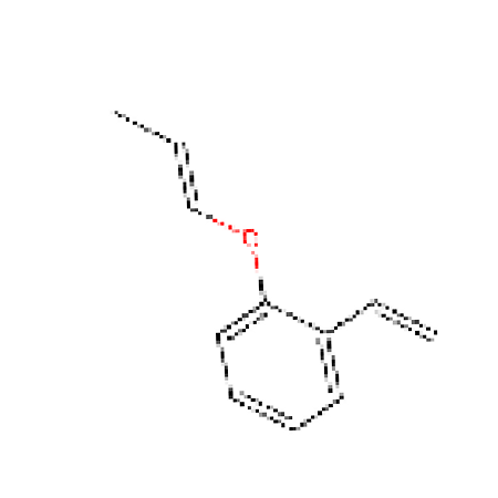 C=Cc1ccccc1OC=CC